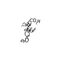 Cc1ccc2c(CC(=O)O)nn([C@@H]3C[C@H](C(F)F)N(S(=O)(=O)c4ccc(OC(C)C)cc4)C3)c2c1